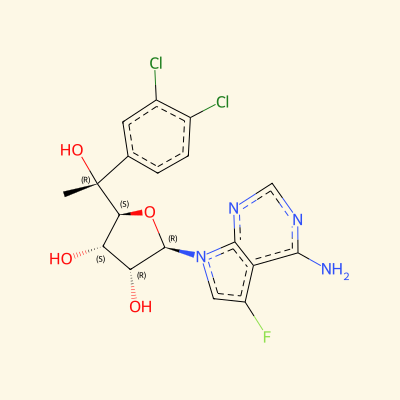 C[C@@](O)(c1ccc(Cl)c(Cl)c1)[C@H]1O[C@@H](n2cc(F)c3c(N)ncnc32)[C@H](O)[C@@H]1O